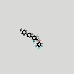 CC[C@H]1CC[C@H](C2CCC(c3cc(F)c(C(F)(F)Oc4cc(F)c(F)c(F)c4)c(F)c3)CC2)CC1